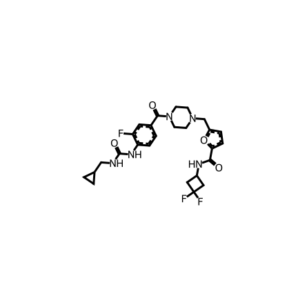 O=C(NCC1CC1)Nc1ccc(C(=O)N2CCN(Cc3ccc(C(=O)NC4CC(F)(F)C4)o3)CC2)cc1F